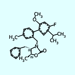 COc1cc(F)c(C(C)C)cc1-c1ccc(C)cc1CN1C(=O)O[C@@H](C)[C@@H]1Cc1ccccc1